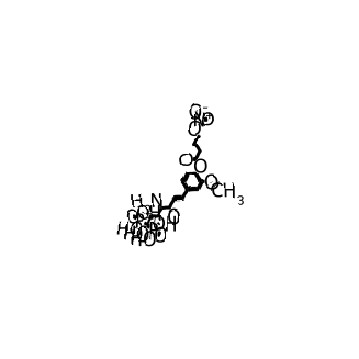 COc1cc(C=CC(=O)C(N)CCC(O)(P(=O)(O)O)P(=O)(O)O)ccc1OC(=O)CCCO[N+](=O)[O-]